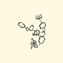 COC(=O)c1ccc(CN(Cc2ccc(CP(=O)(OF)OF)cc2)c2nnc(-c3cccc(Oc4ccccc4)c3)o2)cc1